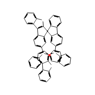 c1ccc(N(c2ccccc2)c2ccc3c(c2)C2(c4ccccc4-c4ccc(N(c5ccccc5)c5cccc6c5sc5ccccc56)cc42)c2sc4ccccc4c2-3)cc1